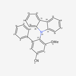 COc1cc(C#N)cc(-c2ccccc2)c1-n1c2ccccc2c2ccccc21